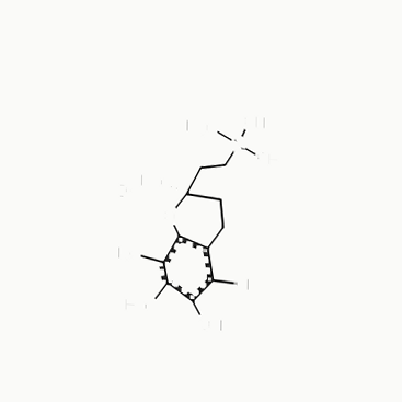 Cc1c(C)c2c(c(C)c1O)CC[C@](C)(CC[N+](C)(C)C)O2.[Br-]